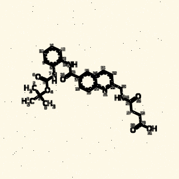 CC(C)(C)OC(=O)Nc1ccccc1NC(=O)c1ccc2nc(CNC(=O)CCC(=O)O)ccc2c1